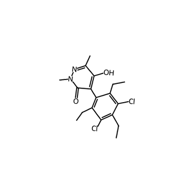 CCc1c(Cl)c(CC)c(-c2c(O)c(C)nn(C)c2=O)c(CC)c1Cl